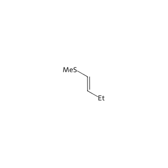 [CH2]C/C=C/SC